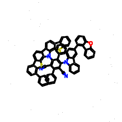 N#Cc1c(-c2ccccc2)c(C#N)c(-n2c3c(ccc4c5ccccc5sc43)c3ccc4c5cccc(-c6ccccc6)c5sc4c32)c(-c2ccccc2)c1-n1c2ccccc2c2cc(-c3cccc4oc5ccccc5c34)ccc21